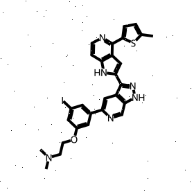 Cc1ccc(-c2nccc3[nH]c(-c4n[nH]c5cnc(-c6cc(I)cc(OCCN(C)C)c6)cc45)cc23)s1